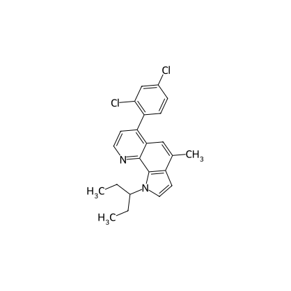 CCC(CC)n1ccc2c(C)cc3c(-c4ccc(Cl)cc4Cl)ccnc3c21